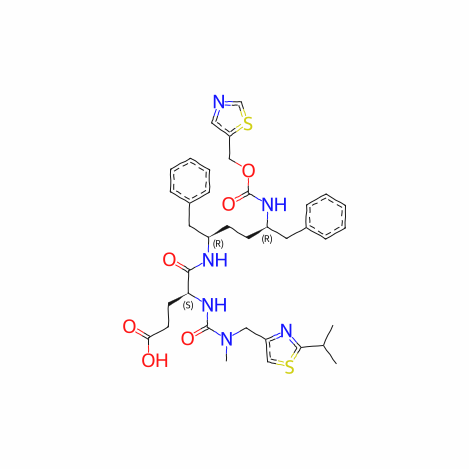 CC(C)c1nc(CN(C)C(=O)N[C@@H](CCC(=O)O)C(=O)N[C@H](CC[C@H](Cc2ccccc2)NC(=O)OCc2cncs2)Cc2ccccc2)cs1